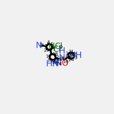 Cl.N#Cc1ccc(Cl)c(-c2ccc3[nH]nc(NC(=O)C45CCC(CC4)NC5)c3c2)c1